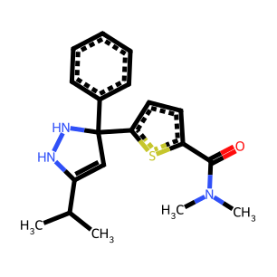 CC(C)C1=CC(c2ccccc2)(c2ccc(C(=O)N(C)C)s2)NN1